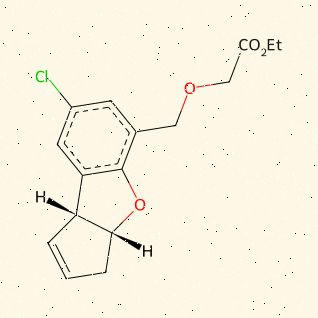 CCOC(=O)COCc1cc(Cl)cc2c1O[C@@H]1CC=C[C@H]21